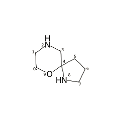 [CH]1CNCC2(CCCN2)O1